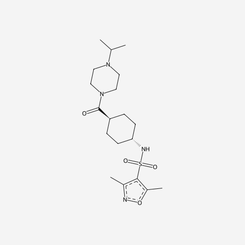 Cc1noc(C)c1S(=O)(=O)N[C@H]1CC[C@H](C(=O)N2CCN(C(C)C)CC2)CC1